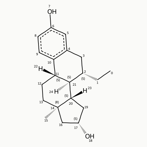 CC[C@H]1Cc2cc(O)ccc2[C@H]2CC[C@]3(C)C[C@@H](O)C[C@H]3[C@H]12